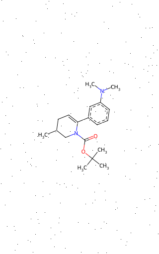 CC1CC=C(c2cccc(N(C)C)c2)N(C(=O)OC(C)(C)C)C1